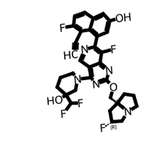 C#Cc1c(F)ccc2cc(O)cc(-c3ncc4c(N5CCCC(O)(C(F)F)C5)nc(OC[C@@]56CCCN5C[C@H](F)C6)nc4c3F)c12